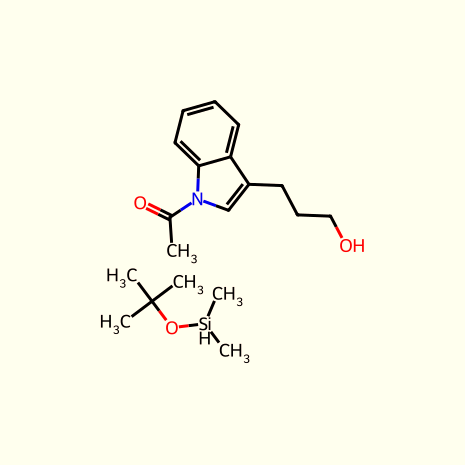 CC(=O)n1cc(CCCO)c2ccccc21.C[SiH](C)OC(C)(C)C